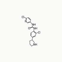 O=C(Nc1ccc(Cl)nc1)Nc1ccc(C2CCCNC2)cc1Cl